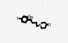 O=C1CCN(CCCc2noc3cc(F)ccc23)CC1